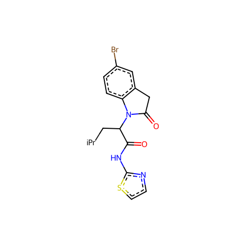 CC(C)CC(C(=O)Nc1nccs1)N1C(=O)Cc2cc(Br)ccc21